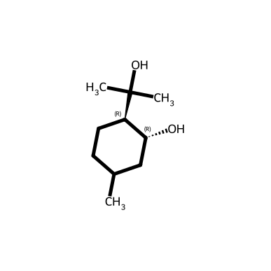 CC1CC[C@@H](C(C)(C)O)[C@H](O)C1